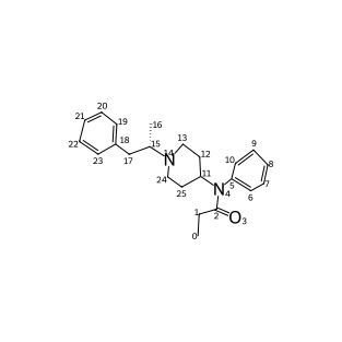 CCC(=O)N(c1ccccc1)C1CCN([C@@H](C)Cc2ccccc2)CC1